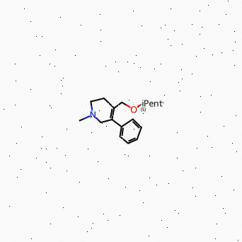 CCC[C@H](C)OCC1=C(c2ccccc2)CN(C)CC1